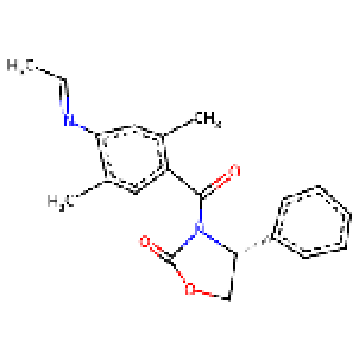 C/C=N/c1cc(C)c(C(=O)N2C(=O)OC[C@H]2c2ccccc2)cc1C